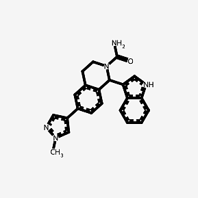 Cn1cc(-c2ccc3c(c2)CCN(C(N)=O)C3c2c[nH]c3ccccc23)cn1